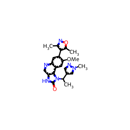 COc1cc2c(cc1-c1c(C)noc1C)ncc1[nH]c(=O)n(C(C)c3cnn(C)c3)c12